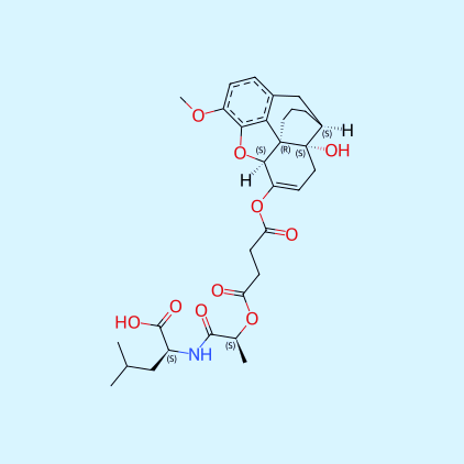 COc1ccc2c3c1O[C@@H]1C(OC(=O)CCC(=O)O[C@@H](C)C(=O)N[C@@H](CC(C)C)C(=O)O)=CC[C@]4(O)[C@@H](CCC[C@@]314)C2